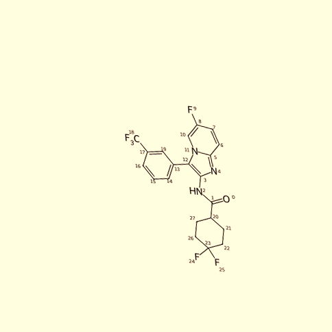 O=C(Nc1nc2ccc(F)cn2c1-c1cccc(C(F)(F)F)c1)C1CCC(F)(F)CC1